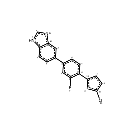 Fc1cc(-c2ccc3[nH]cnc3c2)c[c]c1-c1ccc(Cl)s1